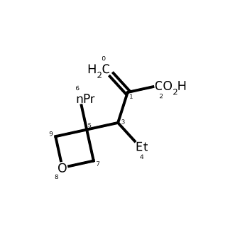 C=C(C(=O)O)C(CC)C1(CCC)COC1